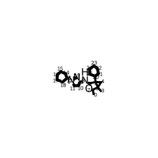 CCC1(C)CC1(C(=O)Nc1ccn(-c2ccccc2)n1)c1ccccc1